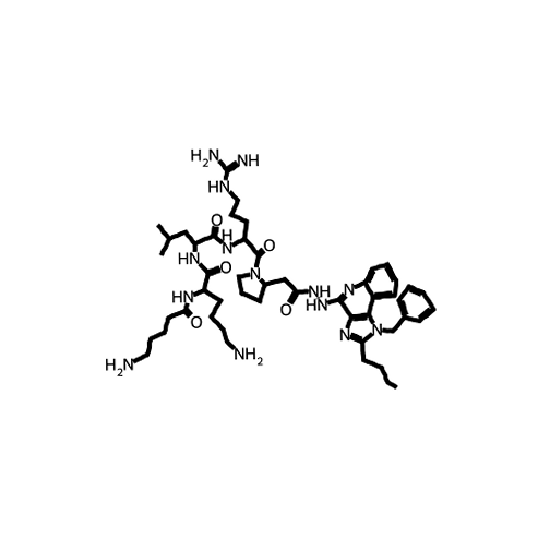 CCCCc1nc2c(NNC(=O)CC3CCCN3C(=O)C(CCCNC(=N)N)NC(=O)C(CC(C)C)NC(=O)C(CCCCN)NC(=O)CCCCN)nc3ccccc3c2n1Cc1ccccc1